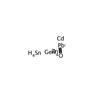 [Cd].[GeH4].[O]=[Pb].[SnH4].[Zn]